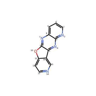 c1cnc2nc3c(nc2c1)oc1ccncc13